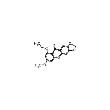 CCOc1cc(OC)cc2oc3cc4c(cc3c(=O)c12)OCO4